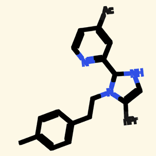 CCCC1=CNC(c2cc(C(C)=O)ccn2)N1CCc1ccc(C)cc1